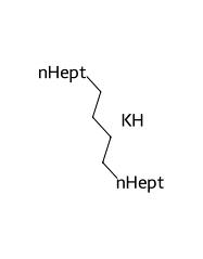 [CH2]CCCCCCCCCCCCCCCCC.[KH]